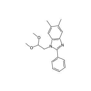 COC(Cn1c(-c2ccccc2)nc2cc(C)c(C)cc21)OC